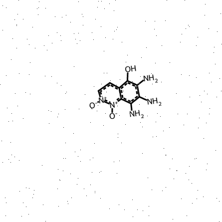 Nc1c(N)c(N)c2c(cc[n+]([O-])[n+]2[O-])c1O